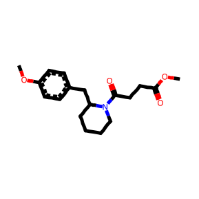 COC(=O)CCC(=O)N1CCCCC1Cc1ccc(OC)cc1